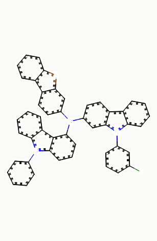 Fc1cccc(-n2c3ccccc3c3ccc(N(c4ccc5c(c4)sc4ccccc45)c4cccc5c4c4ccccc4n5-c4ccccc4)cc32)c1